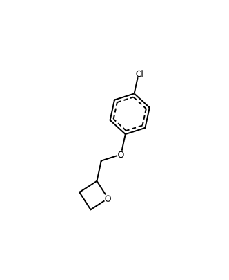 Clc1ccc(OCC2CCO2)cc1